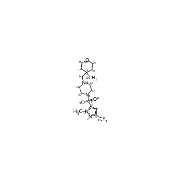 Cn1nc(C(F)(F)F)cc1S(=O)(=O)N1CCN(CC2(C)CCOCC2)CC1